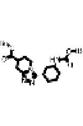 CC(C)(C)OC(=O)N[C@@H]1CCC[C@H](c2nnc3n2CCC(C(=O)OC(C)(C)C)C3)C1